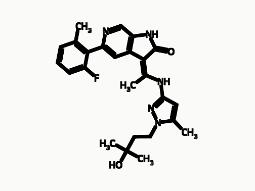 C/C(Nc1cc(C)n(CCC(C)(C)O)n1)=C1/C(=O)Nc2cnc(-c3c(C)cccc3F)cc21